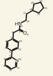 O=C(Cc1ccc(-c2ccccn2)cc1)NCCC1CCCC1